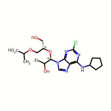 CCC(O)[C@@H](O[C@@H](CO)COC(C)C(=O)O)n1cnc2c(NC3CCCC3)nc(Cl)nc21